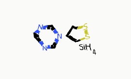 C1=CSSC1.[SiH4].c1ncncn1